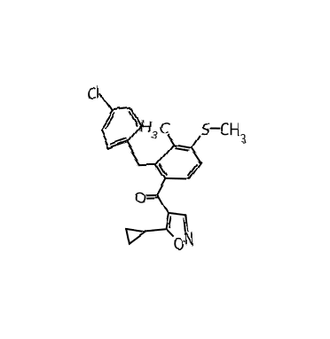 CSc1ccc(C(=O)c2cnoc2C2CC2)c(Cc2ccc(Cl)cc2)c1C